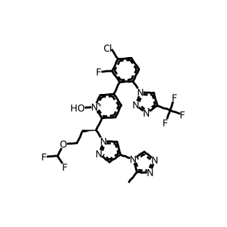 Cc1nncn1-c1cnn([C@@H](CCOC(F)F)c2ccc(-c3c(-n4cc(C(F)(F)F)nn4)ccc(Cl)c3F)c[n+]2O)c1